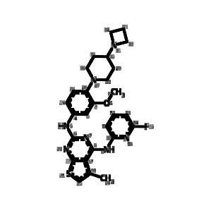 COc1cc(Nc2nc(Nc3cccc(F)n3)c3c(C)csc3n2)ccc1N1CCC(N2CCC2)CC1